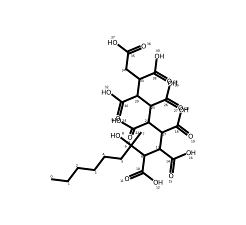 CCCCCCC(C)(O)C(C(=O)O)C(C(=O)O)C(C(=O)O)C(C(=O)O)C(C(=O)O)C(C(=O)O)C(CC(=O)O)C(=O)O